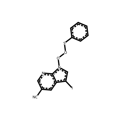 N#Cc1cnc2c(c1)c(I)cn2OOSc1ccccc1